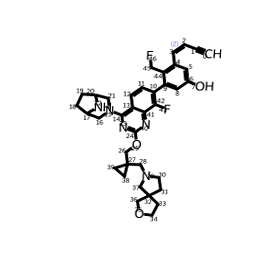 C#C/C=C\c1cc(O)cc(-c2ccc3c(N4CC5CCC(C4)N5)nc(OCC4(CN5CCC6(CCOC6)C5)CC4)nc3c2F)c1CF